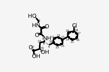 O=C(NCO)C(=O)N[C@H](Cc1ccc(-c2cccc(Cl)c2)cc1)C[C@@H](O)C(=O)O